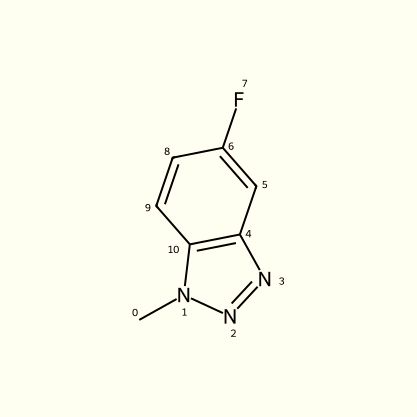 Cn1nnc2cc(F)ccc21